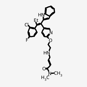 CC/C(=C(/c1ccc(OCCNC/C=C/C(=O)N(C)C)nc1)c1cc2ccccc2[nH]1)c1ccc(F)cc1Cl